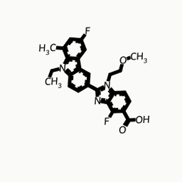 CCn1c2ccc(-c3nc4c(F)c(C(=O)O)ccc4n3CCOC)cc2c2cc(F)cc(C)c21